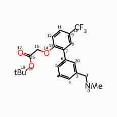 CNCc1cccc(-c2cc(C(F)(F)F)ccc2OCC(=O)OC(C)(C)C)c1